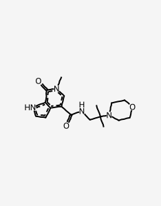 Cn1cc(C(=O)NCC(C)(C)N2CCOCC2)c2cc[nH]c2c1=O